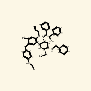 C=CCOc1cc(Cl)c(Cc2ccc(OCC)cc2)cc1[C@@H]1O[C@H](CO)[C@@H](OCc2ccccc2)[C@@H](OCc2ccccc2)[C@H]1OCc1ccccc1